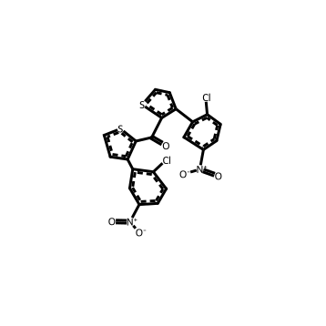 O=C(c1sccc1-c1cc([N+](=O)[O-])ccc1Cl)c1sccc1-c1cc([N+](=O)[O-])ccc1Cl